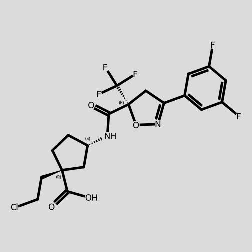 O=C(O)[C@]1(CCCl)CC[C@H](NC(=O)[C@@]2(C(F)(F)F)CC(c3cc(F)cc(F)c3)=NO2)C1